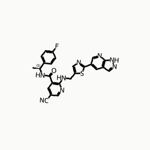 C[C@H](NC(=O)c1cc(C#N)cnc1NCc1cnc(-c2cnc3[nH]ncc3c2)s1)c1ccc(F)cc1